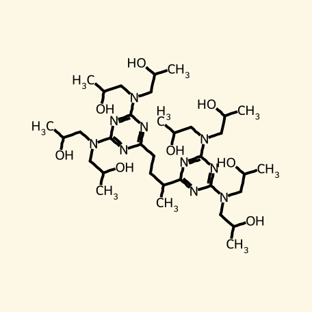 CC(O)CN(CC(C)O)c1nc(CCC(C)c2nc(N(CC(C)O)CC(C)O)nc(N(CC(C)O)CC(C)O)n2)nc(N(CC(C)O)CC(C)O)n1